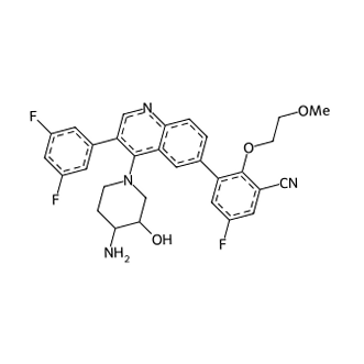 COCCOc1c(C#N)cc(F)cc1-c1ccc2ncc(-c3cc(F)cc(F)c3)c(N3CCC(N)C(O)C3)c2c1